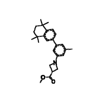 COC(=O)C1CN(c2cc(C)cc(-c3ccc4c(c3)C(C)(C)CCC4(C)C)c2)C1